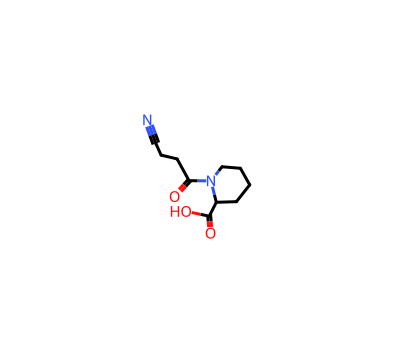 N#CCCC(=O)N1CCCCC1C(=O)O